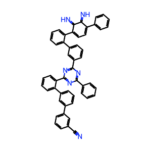 N#Cc1cccc(-c2cccc(-c3ccccc3-c3nc(-c4ccccc4)nc(-c4cccc(-c5ccccc5C5=CC=C(c6ccccc6)C(=N)C5=N)c4)n3)c2)c1